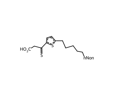 CCCCCCCCCCCCCCc1ccc(C(=S)CC(=O)O)s1